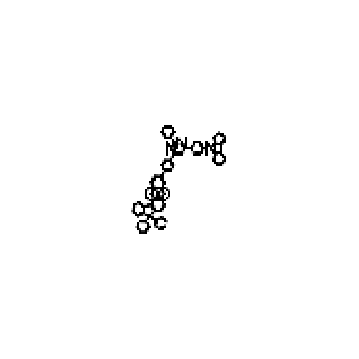 c1ccc(-c2nc(-c3ccc(-c4ccc5c(c4)Oc4ccc6c(c4O5)-c4ccccc4C6(c4ccccc4)c4ccccc4)cc3)cc(-c3ccc(-n4c5ccccc5c5ccccc54)cc3)n2)cc1